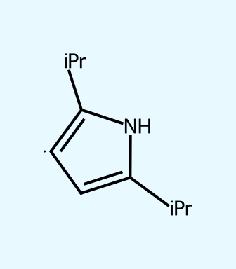 CC(C)c1[c]cc(C(C)C)[nH]1